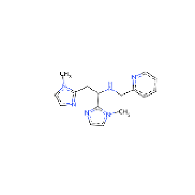 Cn1ccnc1CC(NCc1ccccn1)c1nccn1C